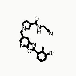 Cc1c(Br)cccc1-c1nc2cc(CN3CCC(C(=O)NCC#N)C3)cnc2o1